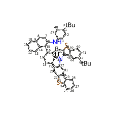 CC(C)(C)c1ccc(Nc2ccc3ccccc3c2-c2ccc3c4cc5sc6ccccc6c5cc4n4c3c2Bc2sc3ccc(C(C)(C)C)cc3c2-4)cc1